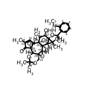 CNc1ccccc1C(C)O[C@@]12[C@H](O)[C@@H](C)[C@@]3(O)[C@@H]([C@@H]4O[C@@]45COC(C)(C)O[C@H]5[C@]4(O)C(=O)C(C)=C[C@H]43)[C@H]1C2(C)C